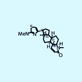 CNc1nc([C@H]2CC[C@H]3[C@@H]4CC[C@H]5N(C)C(=O)C=C[C@]5(C)[C@H]4CC[C@]23C)cs1